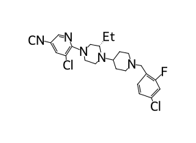 [C-]#[N+]c1cnc(N2CCN(C3CCN(Cc4ccc(Cl)cc4F)CC3)[C@@H](CC)C2)c(Cl)c1